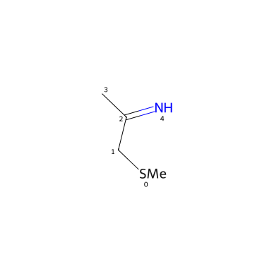 CSCC(C)=N